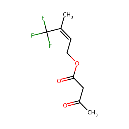 CC(=O)CC(=O)OCC=C(C)C(F)(F)F